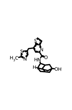 Cc1ncc(Cc2cc(C(=O)NC3C4CC5C[C@H]3CC(O)(C5)C4)nc3ccsc23)s1